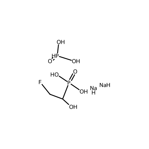 O=P(O)(O)C(O)CF.O=[PH](O)O.[NaH].[NaH]